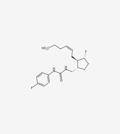 O=C(O)CC/C=C\C[C@@H]1[C@@H](CNC(=O)Nc2ccc(F)cc2)CC[C@H]1F